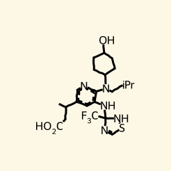 CC(C)CN(c1ncc(C(C)CC(=O)O)cc1NC1(C(F)(F)F)N=CSN1)C1CCC(O)CC1